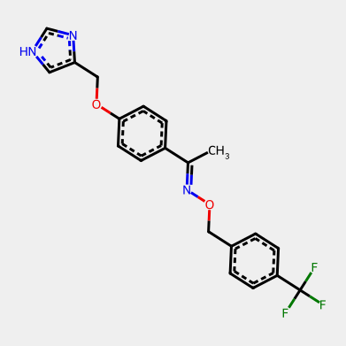 C/C(=N\OCc1ccc(C(F)(F)F)cc1)c1ccc(OCc2c[nH]cn2)cc1